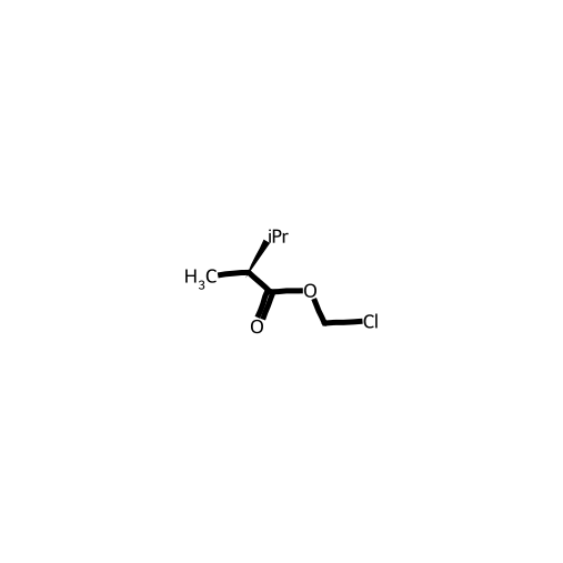 CC(C)[C@H](C)C(=O)OCCl